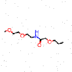 CCCOCC(=O)NCCOCCOC